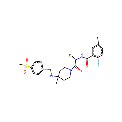 Cc1ccc(F)c(C(=O)N[C@@H](C(=O)N2CCC(C)(NCc3ccc(S(C)(=O)=O)cc3)CC2)C(C)C)c1